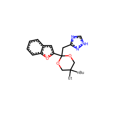 CCCCC1(CC)COC(Cc2nc[nH]n2)(c2cc3ccccc3o2)OC1